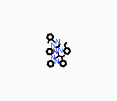 C=Cc1ccccc1N1c2cnc(-c3ccccc3C)nc2N(C)C1C1C(C)c2ccccc2N2c3ccccc3N(c3ccccc3)C12